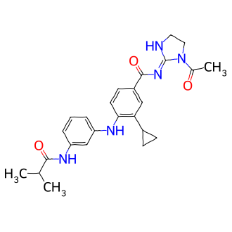 CC(=O)N1CCN/C1=N\C(=O)c1ccc(Nc2cccc(NC(=O)C(C)C)c2)c(C2CC2)c1